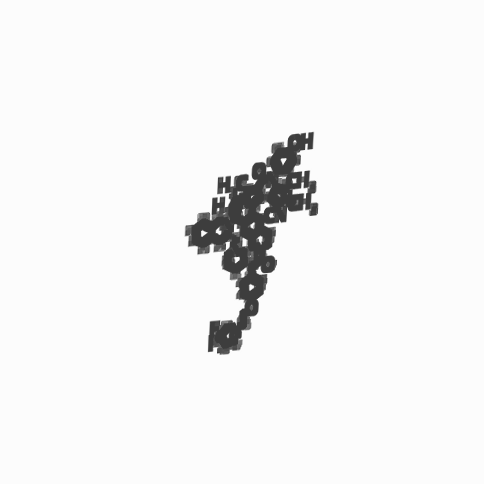 Cc1c(N(C(=O)c2cc(-c3cc4c(cc3C(=O)N3Cc5ccccc5C[C@H]3CN3CCCCC3)CN(C(=O)Cc3ccc(OCCN5CCC(F)(F)C5)cc3)CC4)n(C)c2C)c2ccc(O)cc2)cc(C#N)n1C